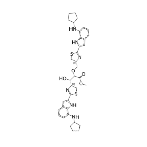 COC(=O)C(OC[C@@H]1CSC(c2cc3cccc(NC4CCCC4)c3[nH]2)=N1)C(O)[C@@H]1CSC(c2cc3cccc(NC4CCCC4)c3[nH]2)=N1